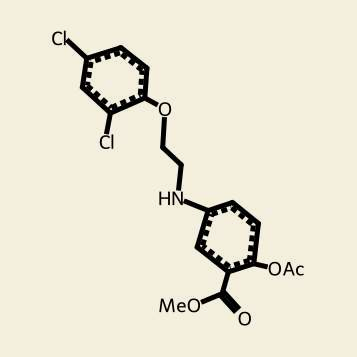 COC(=O)c1cc(NCCOc2ccc(Cl)cc2Cl)ccc1OC(C)=O